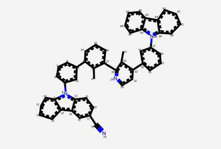 Cc1c(-c2cccc(-n3c4ccccc4c4cc(C#N)ccc43)c2)cccc1-c1nccc(-c2cccc(-n3c4ccccc4c4ccccc43)c2)c1C